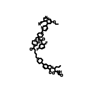 CCCC(C(=O)NC=O)N1Cc2cc(C3CCN(CCCCC(=O)N4CCN(CC5(NC(=O)c6cc(F)ccc6F)CCN(c6ccc(-c7cc(OCC)cn8ncc(C#N)c78)cn6)CC5)CC4)CC3)ccc2C1=O